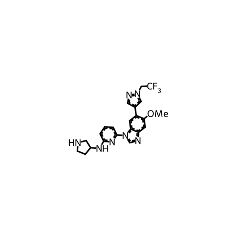 COc1cc2ncn(-c3cccc(NC4CCNC4)n3)c2cc1-c1cnn(CC(F)(F)F)c1